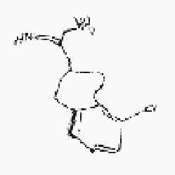 N=C(N)C1Cc2cccc(Cl)c2C1